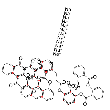 O=C(CCC(=O)Oc1ccccc1C(=O)Oc1ccccc1C(=O)Oc1ccccc1C(=O)Oc1ccccc1C(=O)O)OC(=O)c1ccccc1OC(=O)c1ccccc1OC(=O)c1ccccc1OC(=O)c1ccccc1OC(=O)c1ccccc1OC(=O)c1ccccc1OC(=O)c1ccccc1OC(=O)c1ccccc1O.[Na+].[Na+].[Na+].[Na+].[Na+].[Na+].[Na+].[Na+].[Na+].[Na+].[Na+].[Na+]